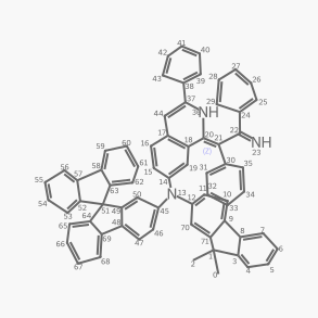 CC1(C)c2ccccc2-c2ccc(N(c3ccc4c(c3)/C(=C(/C(=N)c3ccccc3)c3ccccc3)NC(c3ccccc3)=C4)c3ccc4c(c3)C3(c5ccccc5-c5ccccc53)c3ccccc3-4)cc21